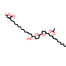 CCCCCCCCCCC(OC(C)=O)C1CCC(C2CCC(C(O)CCCCCCCCCCCCC3=CC(C)OC3=O)O2)O1